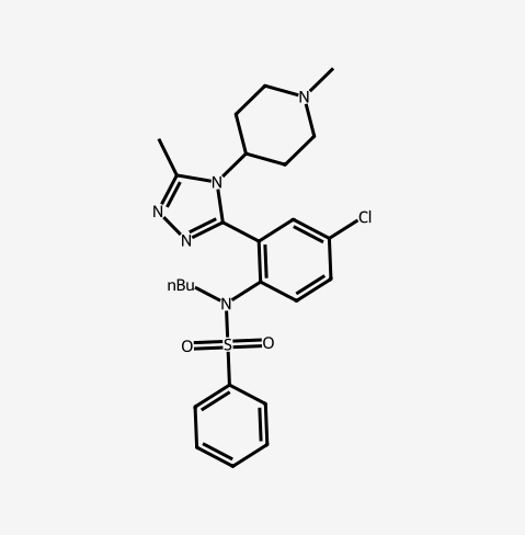 CCCCN(c1ccc(Cl)cc1-c1nnc(C)n1C1CCN(C)CC1)S(=O)(=O)c1ccccc1